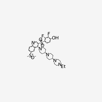 CCN1CCN(C2CCN(C3CCN(c4c(S(=O)(=O)c5ccc(O)c(F)c5F)cnc5ccc([S+](C)[O-])cc45)CC3)CC2)CC1